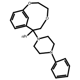 CCCC1(N2CCN(c3ccccc3)CC2)COCCOc2cccc1c2